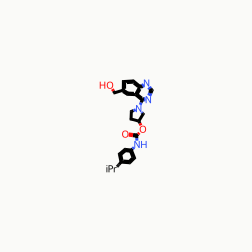 CC(C)c1ccc(NC(=O)OC2CCN(c3ncnc4ccc(CO)cc34)C2)cc1